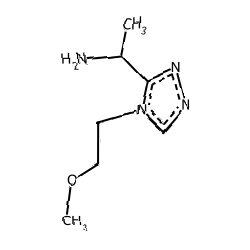 COCCn1cnnc1C(C)N